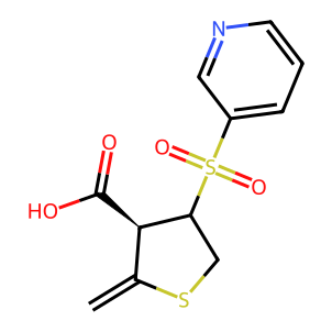 C=C1SCC(S(=O)(=O)c2cccnc2)[C@@H]1C(=O)O